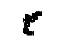 N#Cc1nc2c(Br)c(NC3CCC(N4CCC[C@H](O)C4)CC3)ccc2s1